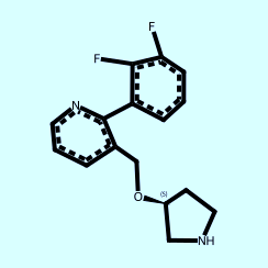 Fc1cccc(-c2ncccc2CO[C@H]2CCNC2)c1F